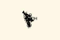 CCOc1c(CC(N)=O)cc([C@@](O)(CNC(=O)c2ccc3nc(C4CC4)sc3c2)C2CC2)nc1-c1ccc2c(c1)OC(F)(F)O2